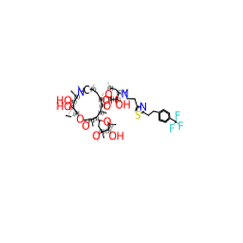 CC[C@H]1OC(=O)[C@H](C)[C@@H](C2C[C@@](C)(OC)[C@@H](O)[C@H](C)O2)[C@H](C)[C@@H](O[C@@H]2O[C@H](C)C[C@H](N(C)CCc3csc(CCc4ccc(C(F)(F)F)cc4)n3)[C@H]2O)[C@](C)(O)C[C@@H](C)CN(C)[C@H](C)[C@@H](O)[C@]1(C)O